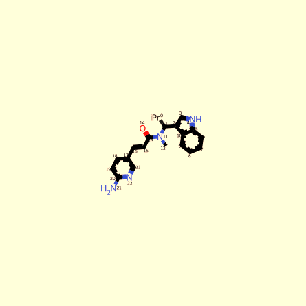 CC(C)C(c1c[nH]c2ccccc12)N(C)C(=O)C=Cc1ccc(N)nc1